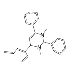 C=C/C=C(\C=C)C1C=C(c2ccccc2)N(C)C(c2ccccc2)N1C